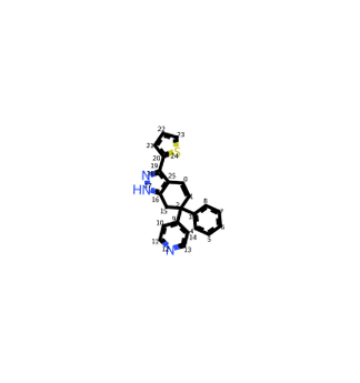 C1=CC(c2ccccc2)(c2ccncc2)Cc2[nH]nc(-c3cccs3)c21